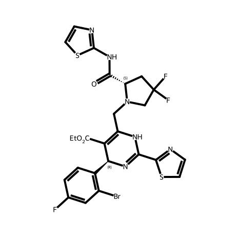 CCOC(=O)C1=C(CN2CC(F)(F)C[C@H]2C(=O)Nc2nccs2)NC(c2nccs2)=N[C@H]1c1ccc(F)cc1Br